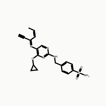 C#CC(/C=C\C)=N/c1cnc(NCc2ccc(S(N)(=O)=O)cc2)nc1OC1CC1